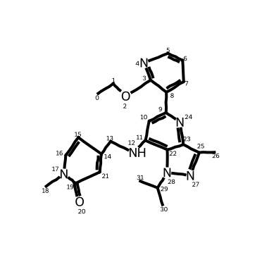 CCOc1ncccc1-c1cc(NCc2ccn(C)c(=O)c2)c2c(n1)c(C)nn2C(C)C